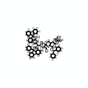 O=C(NC1C(=O)N2C(C(=O)OC(c3ccccc3)c3ccccc3)=C(C=COS(=O)(=O)C(F)(F)F)CS[C@@H]12)C(=NOC(c1ccccc1)(c1ccccc1)c1ccccc1)c1csc(NC(c2ccccc2)(c2ccccc2)c2ccccc2)n1